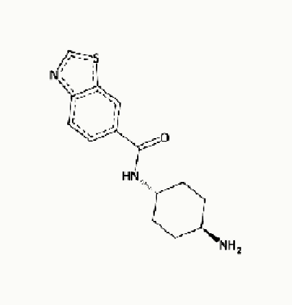 N[C@H]1CC[C@H](NC(=O)c2ccc3ncsc3c2)CC1